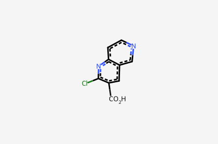 O=C(O)c1cc2cnccc2nc1Cl